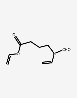 C=COC(=O)CCCN(C=C)C=O